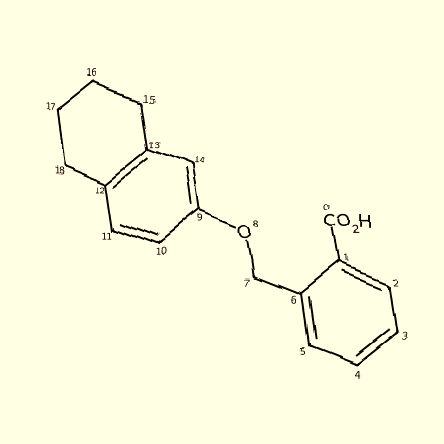 O=C(O)c1ccccc1COc1ccc2c(c1)CCCC2